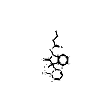 CCCC(=O)ON1C(=O)C(O)(N2N=CC=NN2O)c2ccccc21